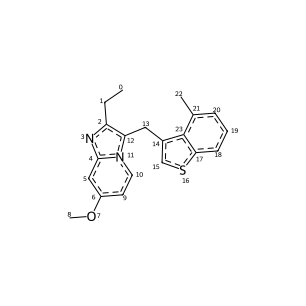 CCc1nc2cc(OC)ccn2c1Cc1csc2cccc(C)c12